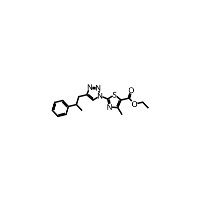 CCOC(=O)c1sc(-n2cc(CC(C)c3ccccc3)nn2)nc1C